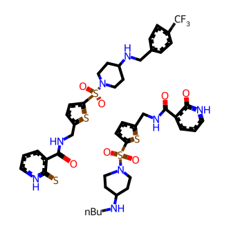 CCCCNC1CCN(S(=O)(=O)c2ccc(CNC(=O)c3ccc[nH]c3=O)s2)CC1.O=C(NCc1ccc(S(=O)(=O)N2CCC(NCc3ccc(C(F)(F)F)cc3)CC2)s1)c1ccc[nH]c1=S